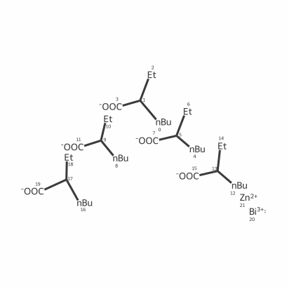 CCCCC(CC)C(=O)[O-].CCCCC(CC)C(=O)[O-].CCCCC(CC)C(=O)[O-].CCCCC(CC)C(=O)[O-].CCCCC(CC)C(=O)[O-].[Bi+3].[Zn+2]